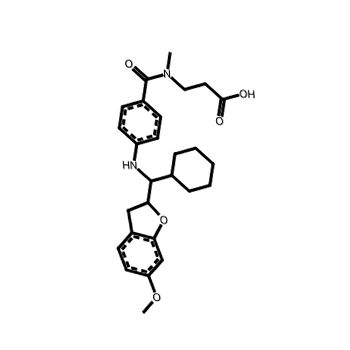 COc1ccc2c(c1)OC(C(Nc1ccc(C(=O)N(C)CCC(=O)O)cc1)C1CCCCC1)C2